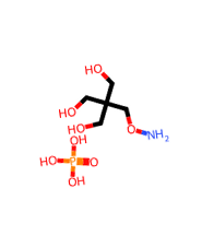 NOCC(CO)(CO)CO.O=P(O)(O)O